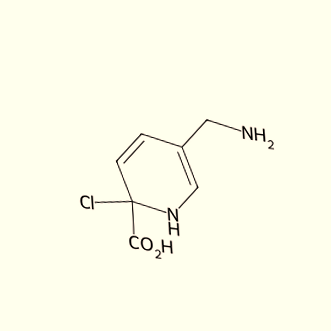 NCC1=CNC(Cl)(C(=O)O)C=C1